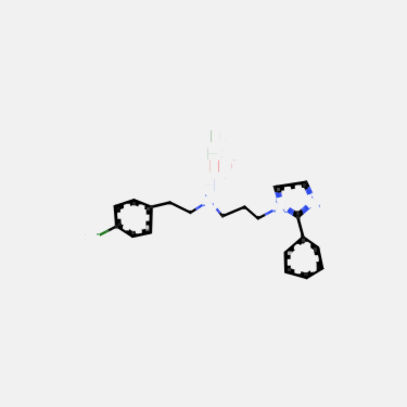 Cl.Cl.Clc1ccc(CCNCCCn2ccnc2-c2ccccc2)cc1.O